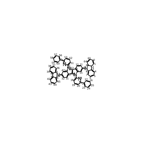 C1=CC2c3ccccc3N(c3ccc4c(c3)n(-c3cccc(-c5ccccc5)n3)c3c5ccc(-n6c7ccccc7c7ccccc76)cc5n(-c5cccc(-c6ccccc6)n5)c43)C2C=C1